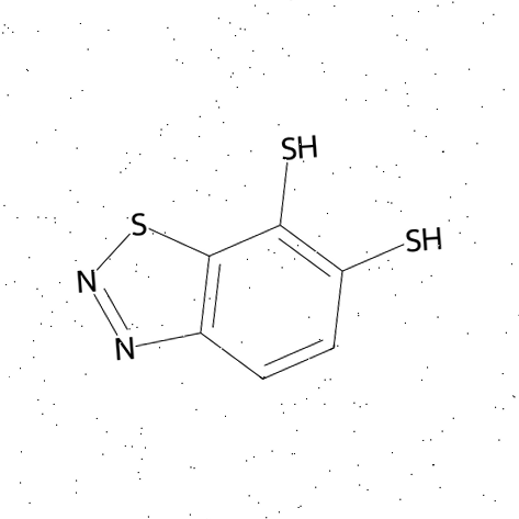 Sc1ccc2nnsc2c1S